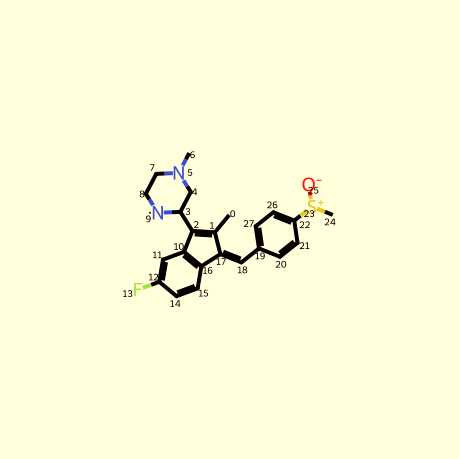 CC1=C(C2CN(C)CC[N]2)c2cc(F)ccc2C1=Cc1ccc([S+](C)[O-])cc1